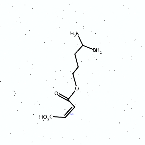 BC(B)CCCOC(=O)/C=C\C(=O)O